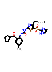 Cc1ccc(NC(=O)Nc2nc(CC(=O)O)c(S(=O)(=O)c3ncc[nH]3)s2)c(C(=O)C2CCCC2)c1